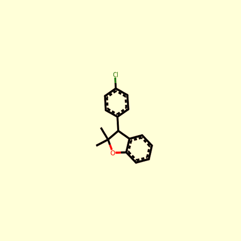 CC1(C)Oc2ccccc2C1c1ccc(Cl)cc1